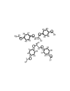 CCOc1ccc(OC(C)COc2ccc(OC)cc2)cc1.CCOc1ccc(OCC(C)Oc2ccc(OC)cc2)cc1